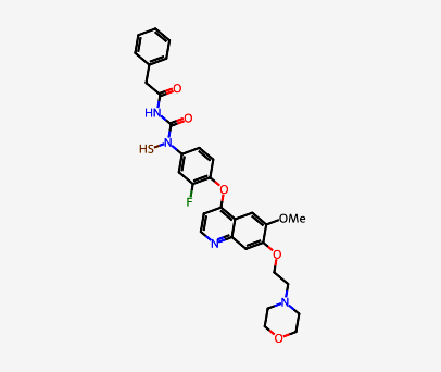 COc1cc2c(Oc3ccc(N(S)C(=O)NC(=O)Cc4ccccc4)cc3F)ccnc2cc1OCCN1CCOCC1